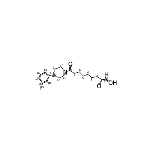 O=C(CCCCCCC(=O)N1CCN(c2cccc(F)c2)CC1)NO